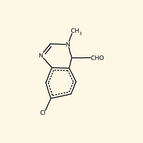 CN1C=Nc2cc(Cl)ccc2C1C=O